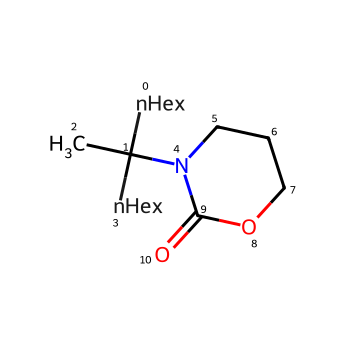 CCCCCCC(C)(CCCCCC)N1CCCOC1=O